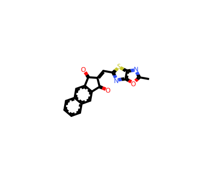 Cc1nc2sc(C=C3C(=O)c4cc5ccccc5cc4C3=O)nc2o1